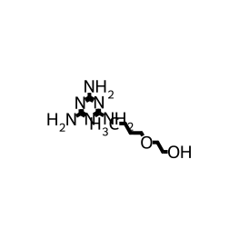 CCCCOCCO.Nc1nc(N)nc(N)n1